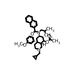 COc1cccc([C@@]23CCN(CC4CC4)C[C@H]2C(OC(C)=O)C[C@H](N(CC(C)C)C(=O)c2ccc4ccccc4c2)C3)c1